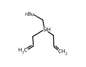 C=CC[SiH](CC=C)CCCCC